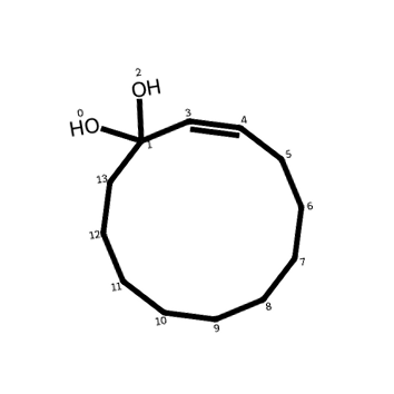 OC1(O)C=CCCCCCCCCC1